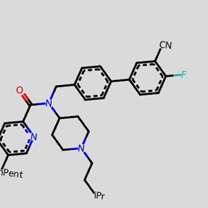 CCCCCc1ccc(C(=O)N(Cc2ccc(-c3ccc(F)c(C#N)c3)cc2)C2CCN(CCC(C)C)CC2)nc1